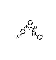 COc1ccc(Cn2nc(C(=O)NCCc3cccnc3)c3ccccc32)cc1